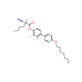 CCCCCCCOc1ccc(-c2ccc(OC(=O)C(C)(C#N)CCCC)c(F)c2F)cc1